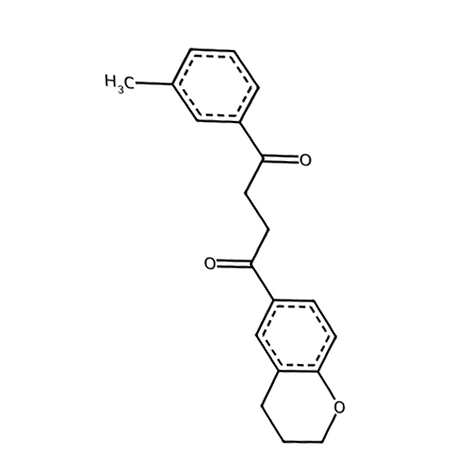 Cc1cccc(C(=O)CCC(=O)c2ccc3c(c2)CCCO3)c1